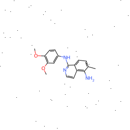 COc1ccc(Nc2nccc3c(N)c(C)ccc23)cc1OC